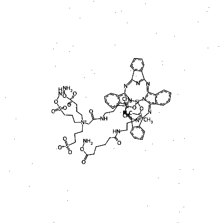 C[Si](C)(CCCNC(=O)CCCCC(=O)ON)O[Si]1(O[Si](C)(C)CCCNC(=O)C[N+](CCCS(=O)(=O)[O-])(CCCS(=O)(=O)ON)CCCS(=O)(=O)ON)n2c3c4ccccc4c2/N=C2N=C(/N=c4/c5ccccc5/c(n41)=N/C1=NC(=N\3)/c3ccccc31)c1ccccc1\2